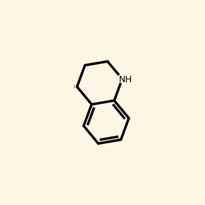 [C]1CCNc2ccccc21